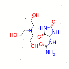 NC(=O)NC1NC(=O)NC1=O.OCCN(CCO)CCO